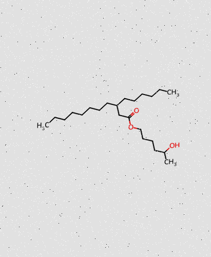 CCCCCCCCC(CCCCCC)CC(=O)OCCCCC(C)O